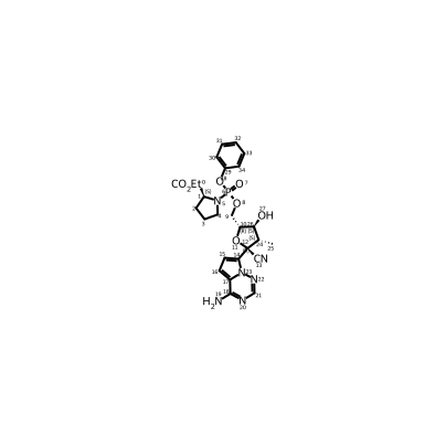 CCOC(=O)[C@@H]1CCCN1P(=O)(OC[C@H]1O[C@@](C#N)(c2ccc3c(N)ncnn23)[C@@H](C)[C@@H]1O)Oc1ccccc1